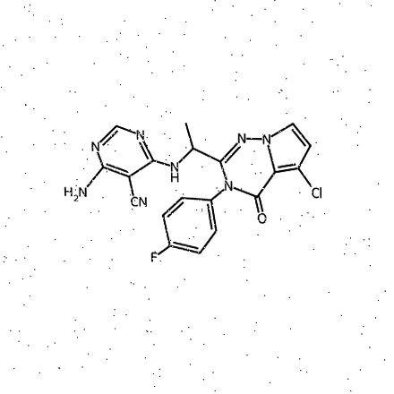 CC(Nc1ncnc(N)c1C#N)c1nn2ccc(Cl)c2c(=O)n1-c1ccc(F)cc1